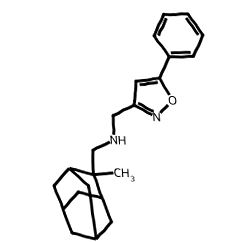 CC1(CNCc2cc(-c3ccccc3)on2)C2CC3CC(C2)CC1C3